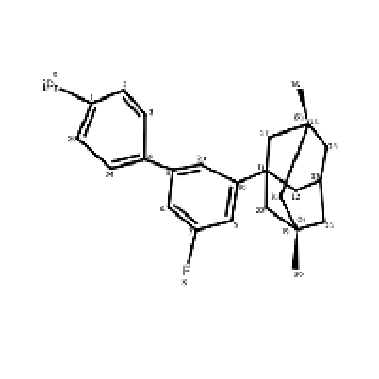 CC(C)c1ccc(-c2cc(F)cc(C34CC5C[C@@](C)(C3)C[C@](C)(C5)C4)c2)cc1